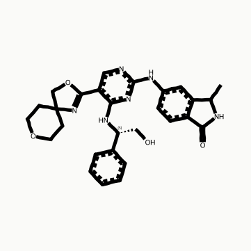 CC1NC(=O)c2ccc(Nc3ncc(C4=NC5(CCOCC5)CO4)c(N[C@H](CO)c4ccccc4)n3)cc21